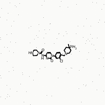 CC1(N)CCN(Cc2ccc(-n3ccc(NC(=O)N4CCNCC4)nc3=O)cc2Cl)CC1